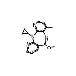 COC1=Nc2c(C)ccnc2N(C2CC2)c2ncccc21